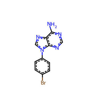 Nc1ncnc2c1ncn2-c1ccc(Br)cc1